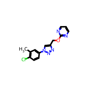 Cc1cc(-n2cc(COc3ncccn3)nn2)ccc1Cl